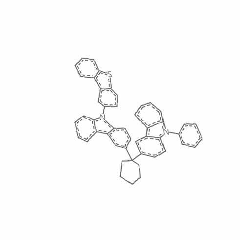 c1ccc(-n2c3ccccc3c3cc(C4(c5ccc6c(c5)c5ccccc5n6-c5ccc6sc7ccccc7c6c5)CCCCC4)ccc32)cc1